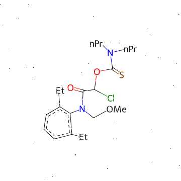 CCCN(CCC)C(=S)OC(Cl)C(=O)N(COC)c1c(CC)cccc1CC